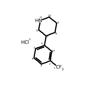 Cl.FC(F)(F)c1cccc(C2CCCNC2)c1